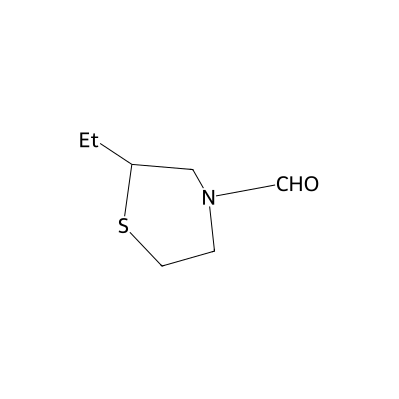 CCC1CN(C=O)CCS1